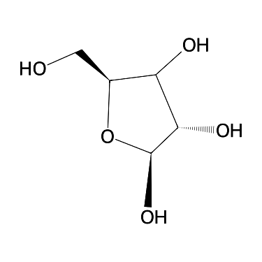 OC[C@@H]1O[C@H](O)[C@@H](O)C1O